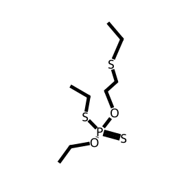 CCOP(=S)(OCCSCC)SCC